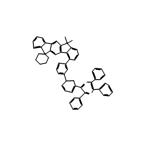 CC1(C)c2cc3c(cc2-c2c(-c4cccc(C5C=CC=C(c6nc(-c7ccccc7)c(-c7ccccc7)nc6-c6ccccc6)C5)c4)cccc21)C1(CCCCC1)c1ccccc1-3